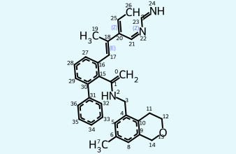 C=C(NCc1cc(C)cc2c1CCOC2)c1c(/C=C(C)/C(/C=N\C=N)=C/C)cccc1-c1ccccc1